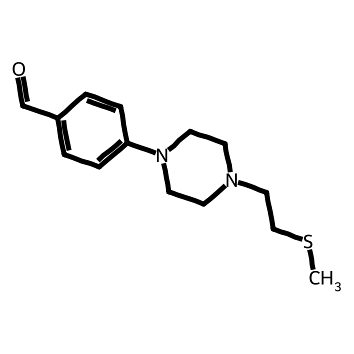 CSCCN1CCN(c2ccc(C=O)cc2)CC1